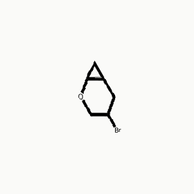 BrC1COC2CC2C1